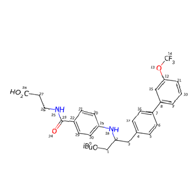 CC(C)COCC(Cc1ccc(-c2cccc(OC(F)(F)F)c2)cc1)Nc1ccc(C(=O)NCCC(=O)O)cc1